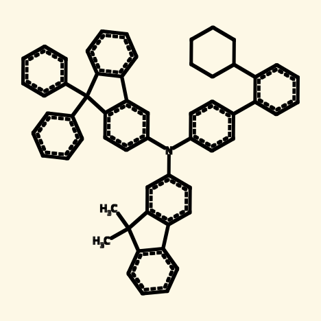 CC1(C)c2ccccc2-c2ccc(N(c3ccc(-c4ccccc4C4CCCCC4)cc3)c3ccc4c(c3)-c3ccccc3C4(c3ccccc3)c3ccccc3)cc21